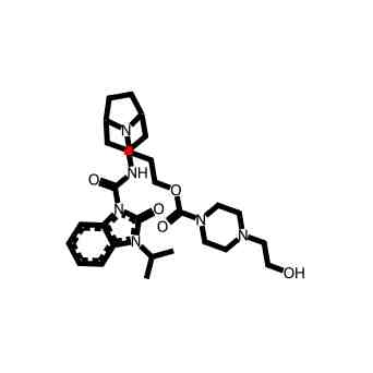 CC(C)n1c(=O)n(C(=O)NC2CC3CCC(C2)N3CCCOC(=O)N2CCN(CCO)CC2)c2ccccc21